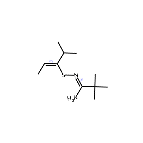 C/C=C(\S/N=C(\N)C(C)(C)C)C(C)C